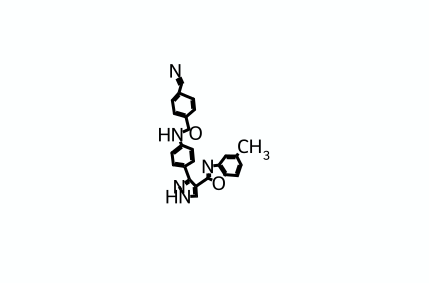 Cc1ccc2oc(-c3c[nH]nc3-c3ccc(NC(=O)c4ccc(C#N)cc4)cc3)nc2c1